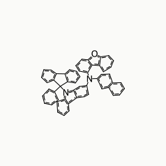 c1ccc(C2(n3c4ccccc4c4ccc(N(c5ccc6ccccc6c5)c5cccc6oc7ccccc7c56)cc43)c3ccccc3-c3ccccc32)cc1